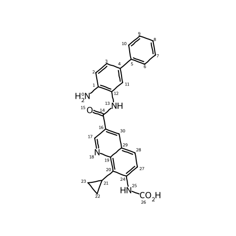 Nc1ccc(-c2ccccc2)cc1NC(=O)c1cnc2c(C3CC3)c(NC(=O)O)ccc2c1